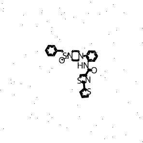 O=C(Nc1ccccc1N1CCN([S+]([O-])Cc2ccccc2)CC1)c1csc(-c2cccs2)n1